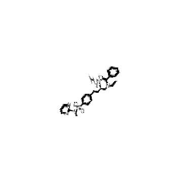 C=CN(CC(N)CCc1ccc(S(=O)(=O)N(C)c2ncccn2)cc1)C(=O)c1ccccc1